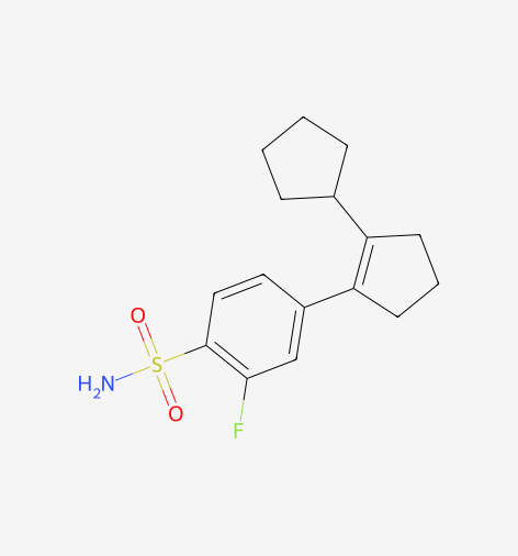 NS(=O)(=O)c1ccc(C2=C(C3CCCC3)CCC2)cc1F